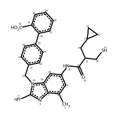 CCCc1nc2c(C)cc(NC(=O)C(CS)CC3CC3)cc2n1Cc1ccc(-c2ccccc2C(=O)O)cc1